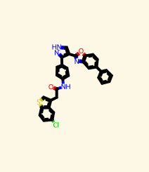 O=C(Cc1csc2ccc(Cl)cc12)Nc1ccc(-c2n[nH]cc2-c2nc3cc(-c4ccccc4)ccc3o2)cc1